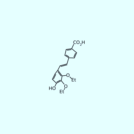 CCOc1c(O)ccc(/C=C/c2ccc(C(=O)O)cc2)c1OCC